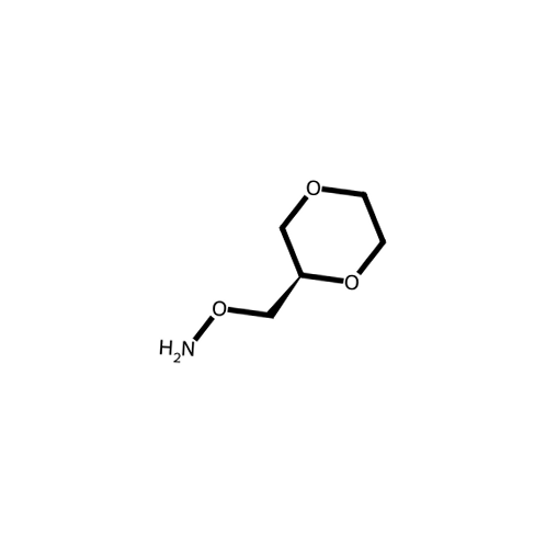 NOC[C@H]1COCCO1